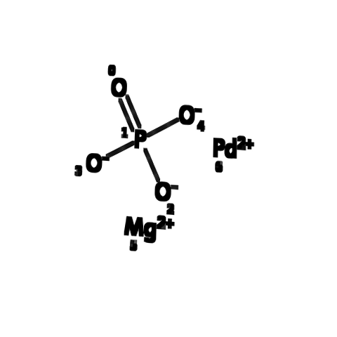 O=P([O-])([O-])[O-].[Mg+2].[Pd+2]